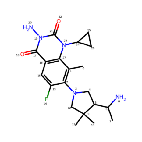 Cc1c(N2CC(C(C)N)C(C)(C)C2)c(F)cc2c(=O)n(N)c(=O)n(C3CC3)c12